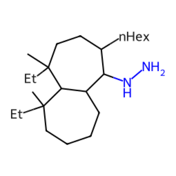 CCCCCCC1CCC(C)(CC)C2C(CCCCC2(C)CC)C1NN